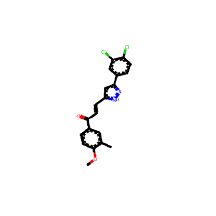 COc1ccc(C(=O)/C=C/c2cc(-c3ccc(Cl)c(Cl)c3)n[nH]2)cc1C